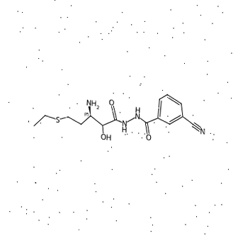 CCSCC[C@@H](N)C(O)C(=O)NNC(=O)c1cccc(C#N)c1